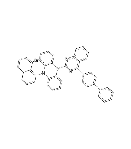 BrC1=CC=CC2CC=CC(N3c4ccccc4N(c4nc(-c5ccc(-c6ccccc6)cc5)c5ccccc5n4)c4ccccc43)=C12